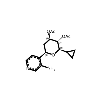 CC(=O)O[C@@H]1[C@@H](C2CC2)O[C@@H](c2ccncc2N)C[C@H]1OC(C)=O